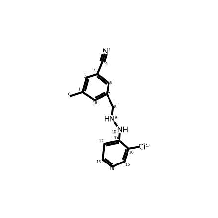 Cc1cc(C#N)cc(CNNc2ccccc2Cl)c1